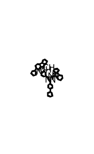 CC1(C)c2ccccc2-c2ccc3c4ccccc4n(-c4ccc(-c5nc(-c6ccc(-c7ccccc7)cc6)nc(-n6c7ccccc7c7ccccc76)n5)cc4)c3c21